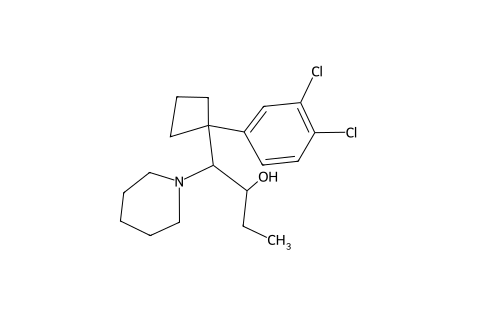 CCC(O)C(N1CCCCC1)C1(c2ccc(Cl)c(Cl)c2)CCC1